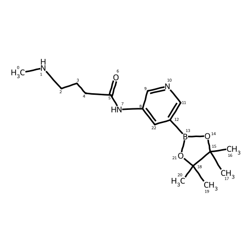 CNCCCC(=O)Nc1cncc(B2OC(C)(C)C(C)(C)O2)c1